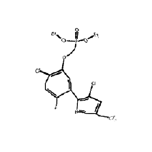 CCOP(=O)(COc1cc(-c2ncc(C(F)(F)F)cc2Cl)c(F)cc1Cl)OCC